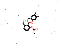 CSC(=O)Oc1cccc(CO)c1COc1cc(C)c(C)cc1C